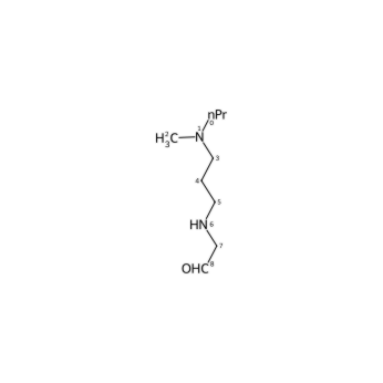 CCCN(C)CCCNCC=O